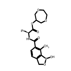 Cc1c(C(=O)N[C@H](C(=O)OC2COCCOC2)C(C)C)ccc2c1B(O)OC2